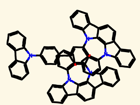 c1ccc(-n2c3ccccc3c3ccc4c5ccccc5n(-c5cc(-c6ccc(-n7c8ccccc8c8ccccc87)cc6)cc(-n6c7ccccc7c7ccc8c9ccccc9n(-c9ccccc9)c8c76)c5)c4c32)cc1